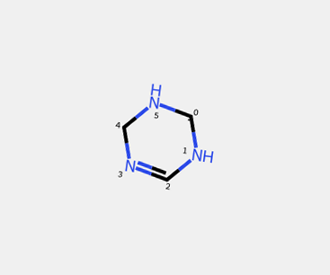 [C]1NC=NCN1